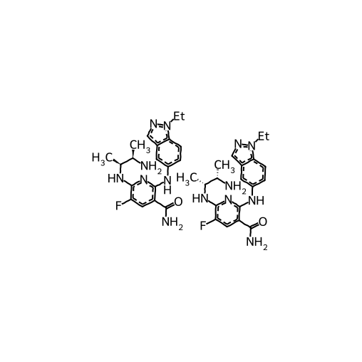 CCn1ncc2cc(Nc3nc(N[C@@H](C)[C@@H](C)N)c(F)cc3C(N)=O)ccc21.CCn1ncc2cc(Nc3nc(N[C@H](C)[C@H](C)N)c(F)cc3C(N)=O)ccc21